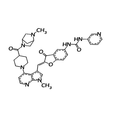 CN1CC2CC1CN2C(=O)C1CCN(c2ccnc3c2c(/C=C2\Oc4ccc(NC(=O)Nc5cccnc5)cc4C2=O)cn3C)CC1